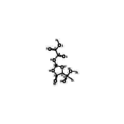 COC(=O)C(=O)OB1OC(=O)C(P(C)(=O)OC)O1